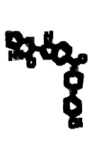 N#Cc1ccc(N2CCN(C(=O)c3ccc4[nH]c(-c5nc6cscc6[nH]c5=O)cc4c3)CC2)cc1